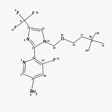 Bc1cnc(-c2nc(C(F)(F)F)cn2COCCS(C)(C)C)c(F)c1